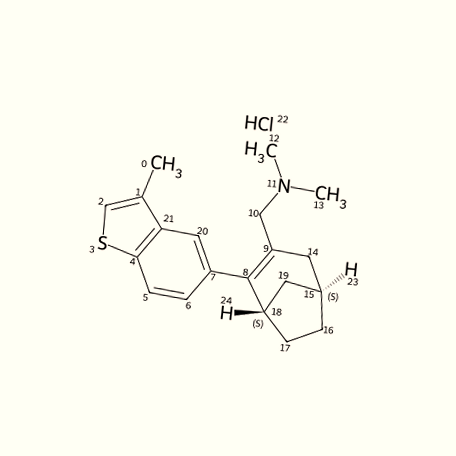 Cc1csc2ccc(C3=C(CN(C)C)C[C@H]4CC[C@H]3C4)cc12.Cl